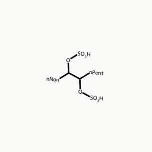 CCCCCCCCCC(OS(=O)(=O)O)C(CCCCC)OS(=O)(=O)O